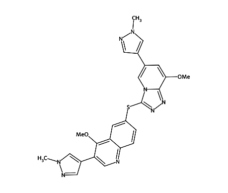 COc1c(-c2cnn(C)c2)cnc2ccc(Sc3nnc4c(OC)cc(-c5cnn(C)c5)cn34)cc12